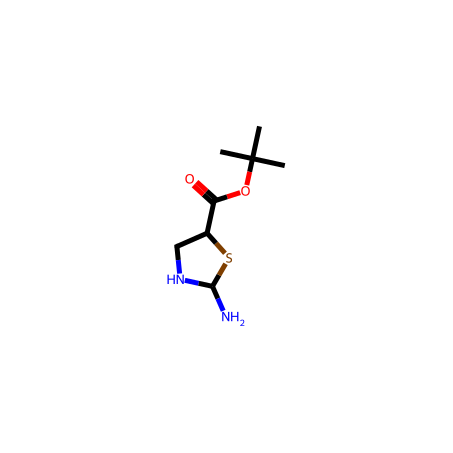 CC(C)(C)OC(=O)C1CNC(N)S1